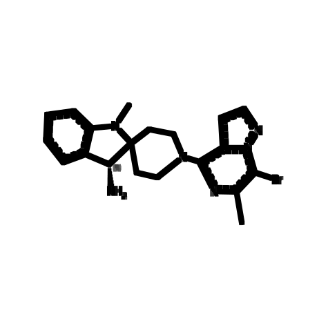 Cc1nc(N2CCC3(CC2)[C@H](N)c2ccccc2N3C)c2ccnn2c1Br